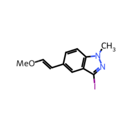 COC=Cc1ccc2c(c1)c(I)nn2C